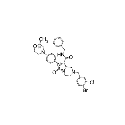 C[C@H]1CN(c2ccc(-n3c(C(=O)NCc4ccccc4)c4n(c3=O)CCN(Cc3ccc(Br)c(Cl)c3)C4)cc2)CCO1